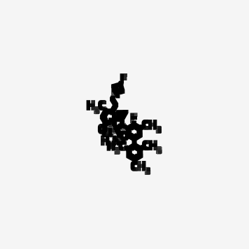 CC[C@@](C(N)=O)([C@H](c1cc(-c2c(C)cc(C)cc2C)cc(C)c1F)C1CC1)n1nc(CCN2CC(F)C2)c(C)cc1=O